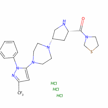 Cl.Cl.Cl.O=C([C@@H]1C[C@H](N2CCN(c3cc(C(F)(F)F)nn3-c3ccccc3)CC2)CN1)N1CCSC1